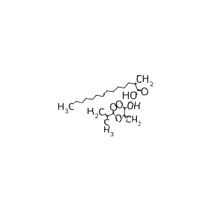 C=C(C)C(=O)OC(=C)C(=O)O.C=C(CCCCCCCCCCCC)C(=O)O